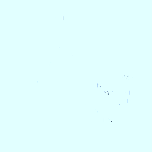 C=CCOC(=O)c1cc2c3c(ccc2cc1OC(=O)c1ccccc1)OC1(Nc2ccccc2C1(C)C)C(C(C)OC)=N3